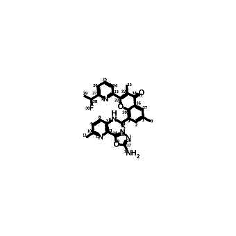 Cc1cc(C(C)Nc2ccc(C)nc2-c2nnc(N)o2)c2oc(-c3cccc(C(C)F)n3)c(C)c(=O)c2c1